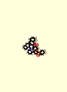 c1ccc(N(c2cccc3ccccc23)c2cccc3oc4c5ccccc5ccc4c23)c(-c2ccc3c(c2)oc2ccccc23)c1